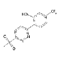 CS(=O)(=O)c1ccc(-c2ccc(C(F)(F)F)cc2O)nn1